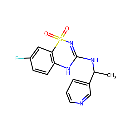 CC(NC1=NS(=O)(=O)c2cc(F)ccc2N1)c1cccnc1